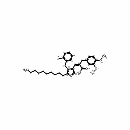 CCCCCCCCCCc1ncc(C=C(Cc2ccc(OC)c(OC)c2)C(=O)O)n1Cc1ccccc1Cl